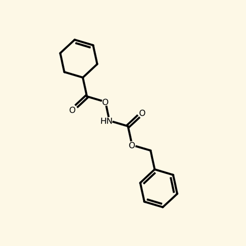 O=C(NOC(=O)C1CC=CCC1)OCc1ccccc1